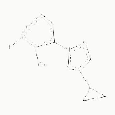 CC(C)(C)c1c(F)cccc1-n1ncc(C2CC2)n1